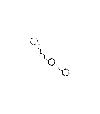 C[N+]1(CCC(=O)CCc2ccc(OCc3ccccc3)cc2)CCCCC1.[Cl-]